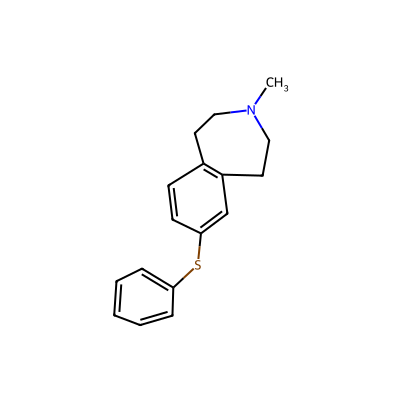 CN1CCc2ccc(Sc3ccccc3)cc2CC1